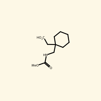 COC(=O)NCC1(CC(=O)O)CCCCC1